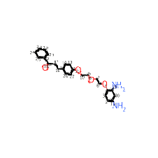 Nc1ccc(OCCOCCOc2ccc(C=CC(=O)c3ccccc3)cc2)c(N)c1